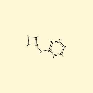 [CH]1CC=C1Cc1ccccc1